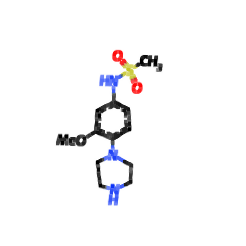 COc1cc(NS(C)(=O)=O)ccc1N1CCNCC1